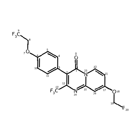 O=c1c(-c2ccc(OCC(F)(F)F)cc2)c(C(F)(F)F)nc2cc(OCF)ccn12